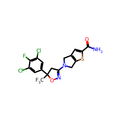 NC(=O)c1cc2c(s1)CN(C1=NOC(c3cc(Cl)c(F)c(Cl)c3)(C(F)(F)F)C1)C2